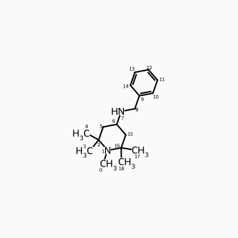 CN1C(C)(C)CC(NCc2ccccc2)CC1(C)C